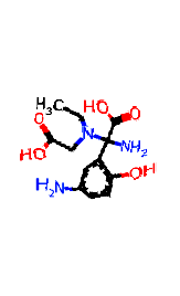 CCN(CC(=O)O)C(N)(C(=O)O)c1cc(N)ccc1O